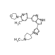 CCN1CCC(n2cc(-c3c[nH]c4ncc(-c5cnc(N6CCOCC6)c(C)c5)cc34)cn2)CC1